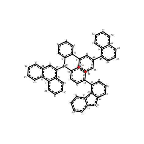 c1cc(-c2ccccc2N(c2ccc(-c3cccc4sc5ccccc5c34)cc2)c2cc3ccccc3c3ccccc23)cc(-c2cccc3ccccc23)c1